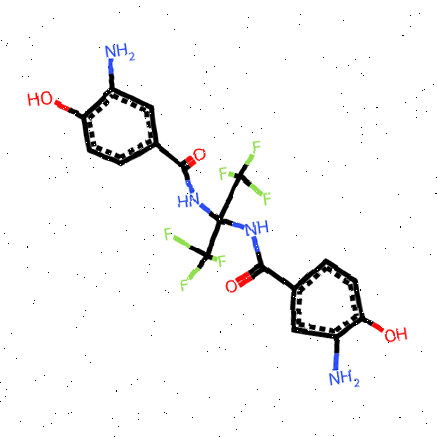 Nc1cc(C(=O)NC(NC(=O)c2ccc(O)c(N)c2)(C(F)(F)F)C(F)(F)F)ccc1O